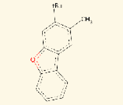 Cc1cc2c(cc1C(C)(C)C)oc1ccccc12